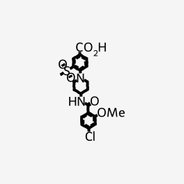 COc1cc(Cl)ccc1C(=O)NC1CCN(c2ccc(C(=O)O)cc2S(C)(=O)=O)CC1